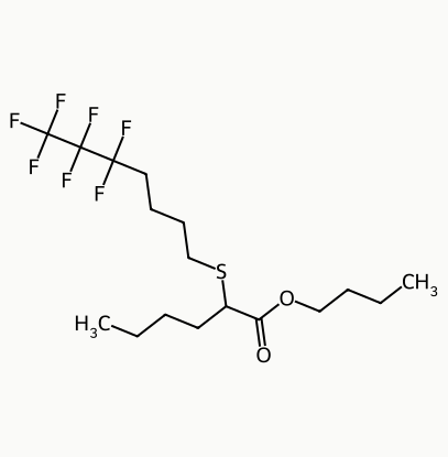 CCCCOC(=O)C(CCCC)SCCCCC(F)(F)C(F)(F)C(F)(F)F